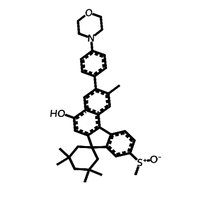 Cc1cc2c3c(cc(O)c2cc1-c1ccc(N2CCOCC2)cc1)C1(CC(C)(C)CC(C)(C)C1)c1cc([S+](C)[O-])ccc1-3